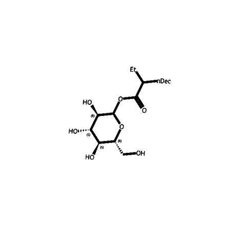 CCCCCCCCCCC(CC)C(=O)OC1O[C@H](CO)[C@@H](O)[C@H](O)[C@H]1O